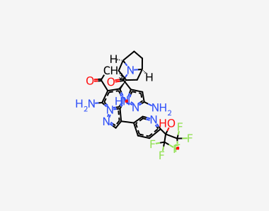 CC(=O)c1c([C@H]2C[C@H]3CC[C@@H](C2)N3C(=O)c2cc(N)n[nH]2)nc2c(-c3ccc(C(O)(C(F)(F)F)C(F)(F)F)nc3)cnn2c1N